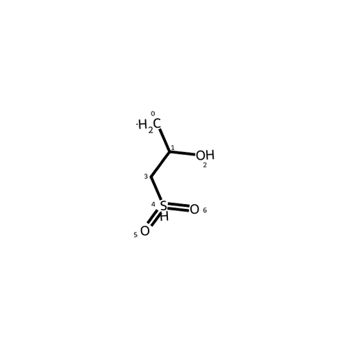 [CH2]C(O)C[SH](=O)=O